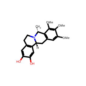 COc1cc2c(c(OC)c1OC)[C@@H](C)N1CCc3cc(O)c(O)cc3[C@H]1C2